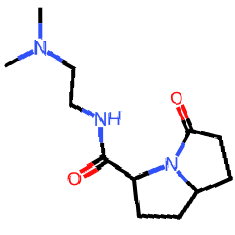 CN(C)CCNC(=O)C1CCC2CCC(=O)N21